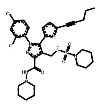 CCCC#Cc1ccc(-c2c(CNS(=O)(=O)N3CCCCC3)c(C(=O)NN3CCCCC3)nn2-c2ccc(Cl)cc2Cl)s1